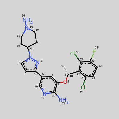 C[C@@H](Oc1cc(-c2ccn(C3CCN(N)CC3)n2)cnc1N)c1c(Cl)ccc(F)c1Cl